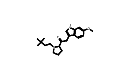 COc1ccc2c(CC(=O)C3CCCN3CCC(C)(C)C)c[nH]c2c1